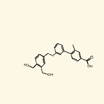 Cc1cc(C(=O)O)ccc1-c1cccc(SCc2ccc(CO)c(CO)c2)c1